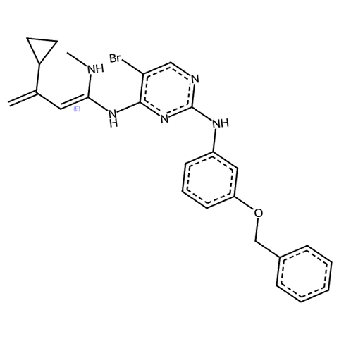 C=C(/C=C(\NC)Nc1nc(Nc2cccc(OCc3ccccc3)c2)ncc1Br)C1CC1